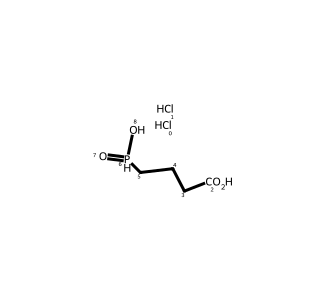 Cl.Cl.O=C(O)CCC[PH](=O)O